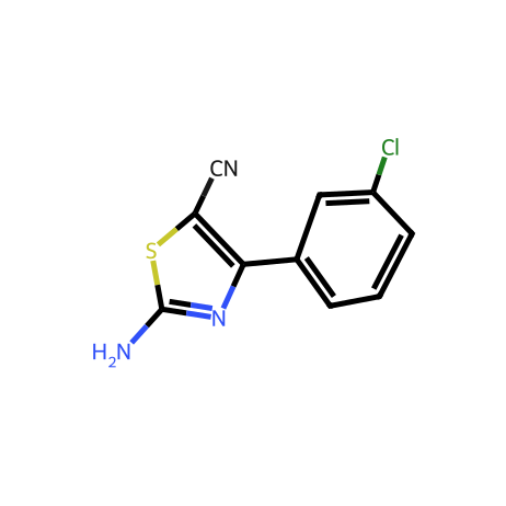 N#Cc1sc(N)nc1-c1cccc(Cl)c1